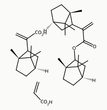 C=C(C(=O)O)C1C[C@H]2CC[C@@]1(C)C2(C)C.C=C(C(=O)OC1C[C@H]2CC[C@@]1(C)C2(C)C)C1C[C@H]2CC[C@@]1(C)C2(C)C.C=CC(=O)O